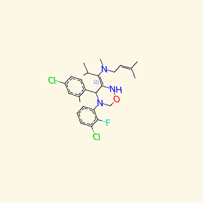 CC(C)=CCN(C)/C(=C1\NOCN(c2cccc(Cl)c2F)C1c1ccc(Cl)cc1C)C(C)C